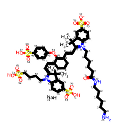 CC1(C)C(=CC=C2CCCC(C=CC3=[N+](CCCCCC(=O)NCCCCCCN)c4ccc(S(=O)(=O)[O-])cc4C3(C)C)=C2Oc2ccc(S(=O)(=O)O)cc2)N(CCCCS(=O)(=O)O)c2ccc(S(=O)(=O)O)cc21.[NaH]